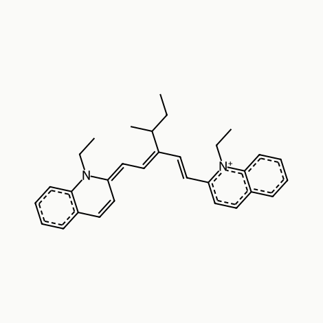 CCC(C)C(C=Cc1ccc2ccccc2[n+]1CC)=CC=C1C=Cc2ccccc2N1CC